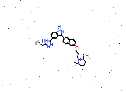 CC(C)Cc1nnc(-c2ccc3[nH]nc(-c4ccc5cc(OCCCN6[C@H](C)CCC[C@@H]6C)ccc5c4)c3c2)[nH]1